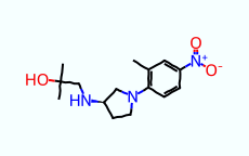 Cc1cc([N+](=O)[O-])ccc1N1CC[C@@H](NCC(C)(C)O)C1